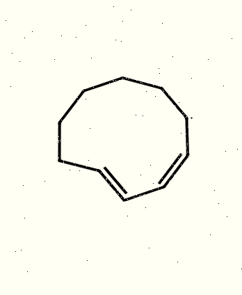 [CH]1/C=C\C=C\CCCCC1